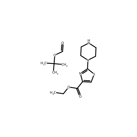 CC(C)(C)OC=O.CCOC(=O)c1csc(N2CCNCC2)n1